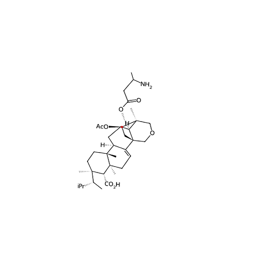 CC(=O)O[C@@H]1C[C@]23COC[C@@](C)([C@@H]2CC[C@H]2C3=CC[C@@]3(C)[C@H](C(=O)O)[C@@](C)([C@H](C)C(C)C)CC[C@]23C)[C@H]1OC(=O)CC(C)N